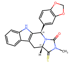 CN1C(=O)N2[C@H](c3ccc4c(c3)OCO4)c3[nH]c4ccccc4c3C[C@H]2C1=S